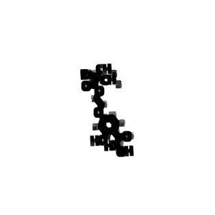 CCC(C)(C)C(=O)OCCOc1ccc(C(=O)NO)c(O)c1